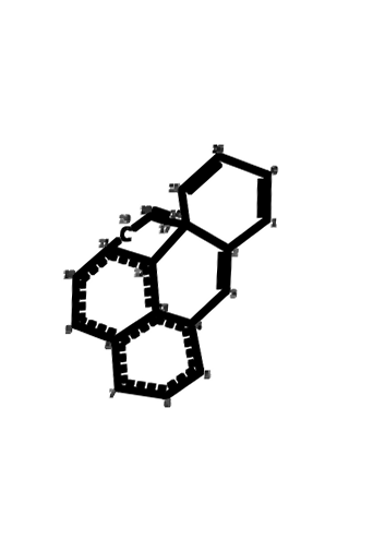 C1=CC2=Cc3cccc4ccc5c(c34)C2(C=C1)C=CC5